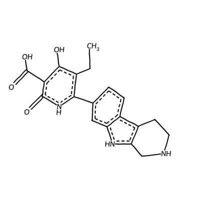 CCc1c(-c2ccc3c4c([nH]c3c2)CNCC4)[nH]c(=O)c(C(=O)O)c1O